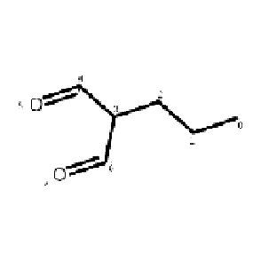 CCCC([C]=O)[C]=O